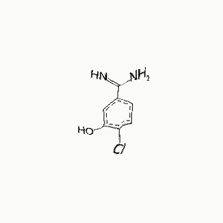 N=C(N)c1ccc(Cl)c(O)c1